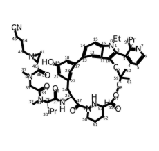 CCn1c(-c2cccnc2C(C)C)c2c3cc(ccc31)-c1cc(O)cc(c1)C[C@H](NC(=O)[C@H](C(C)C)N(C)C(=O)CN(C)C(=O)[C@H]1CN1CCCC#N)C(=O)N1CCC[C@H](N1)C(=O)OCC(C)(C)C2